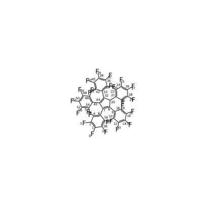 Fc1c(F)c(F)c(C2=C(c3c(F)c(F)c(F)c(F)c3F)C(c3c(F)c(F)c(F)c(F)c3F)C(c3c(F)c(F)c(F)c(F)c3F)=C2c2c(F)c(F)c(F)c(F)c2F)c(F)c1F